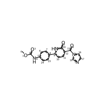 COC(=O)Nc1ccc(-c2ccc(C(=O)n3ccnc3)c(=O)[nH]2)cc1